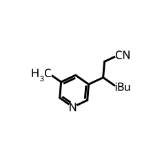 CCC(C)C(CC#N)c1cncc(C)c1